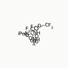 CC(C)n1ccc(C2=C(C(=O)NS(=O)(=O)C3CC3)C(=O)NC(c3ccc(OCCCC(F)(F)F)cc3F)(C(F)(F)F)C2)n1